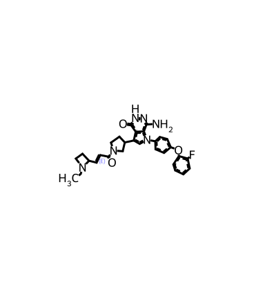 CCN1CCC1/C=C/C(=O)N1CCC(c2cn(-c3ccc(Oc4ccccc4F)cc3)c3c(N)n[nH]c(=O)c23)C1